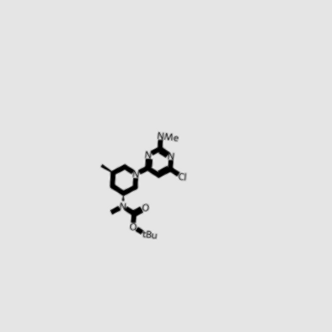 CNc1nc(Cl)cc(N2C[C@H](C)C[C@@H](N(C)C(=O)OC(C)(C)C)C2)n1